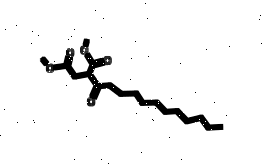 CCCCCCCCCCCC(=O)C(CC(=O)OC)C(=O)OC